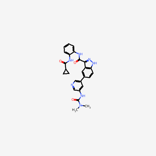 CN(C)C(=O)Nc1cncc(-c2ccc3[nH]nc(C(=O)Nc4ccccc4NC(=O)C4CC4)c3c2)c1